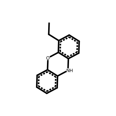 CCc1cccc2c1Oc1ccccc1N2